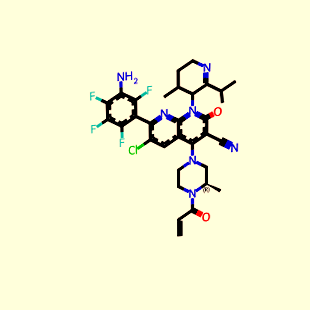 C=CC(=O)N1CCN(c2c(C#N)c(=O)n(C3C(C(C)C)=NCCC3C)c3nc(-c4c(F)c(N)c(F)c(F)c4F)c(Cl)cc23)C[C@H]1C